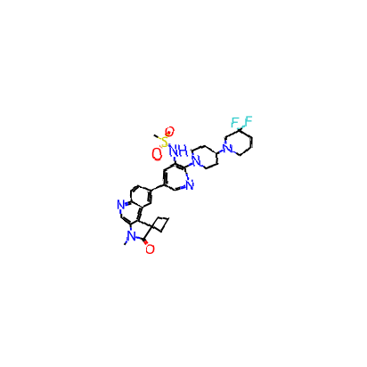 CN1C(=O)C2(CCC2)c2c1cnc1ccc(-c3cnc(N4CCC(N5CCCC(F)(F)C5)CC4)c(NS(C)(=O)=O)c3)cc21